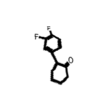 O=C1CCCCC1c1ccc(F)c(F)c1